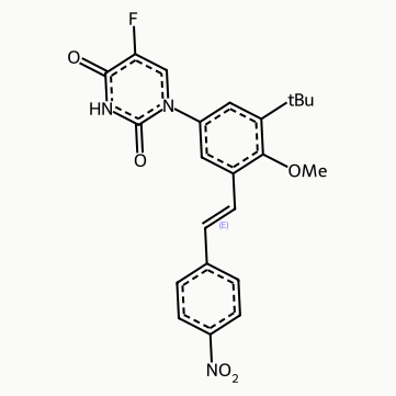 COc1c(/C=C/c2ccc([N+](=O)[O-])cc2)cc(-n2cc(F)c(=O)[nH]c2=O)cc1C(C)(C)C